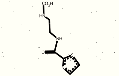 O=C(O)NCCNC(=O)c1nccs1